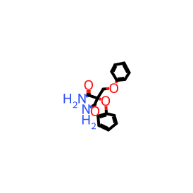 NC(=O)C(COc1ccccc1)(Oc1ccccc1)C(N)=O